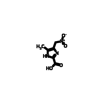 Cc1[nH]c(C(=O)O)nc1C[N+](=O)[O-]